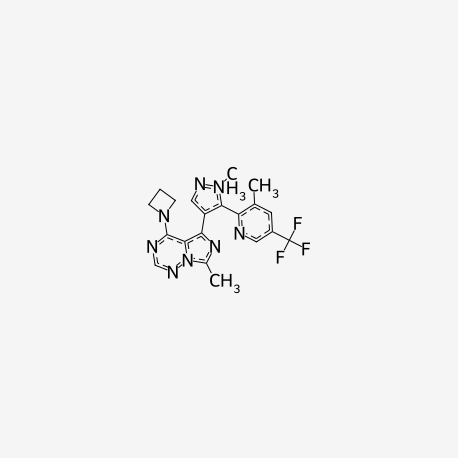 Cc1cc(C(F)(F)F)cnc1-c1c(-c2nc(C)n3ncnc(N4CCC4)c23)cnn1C